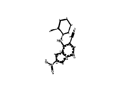 C[C@H]1CCCC[C@H]1Nc1c(C#N)cnn2cc([N+](=O)[O-])cc12